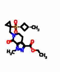 CCOC(=O)c1nn(C)c2c1CCN(CC1(S(=O)(=O)[C@H]3C[C@@H](C)C3)CC1)C2=O